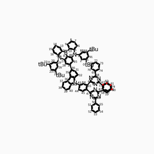 CC(C)(C)c1cc(N2c3ccccc3B3c4ccccc4N(c4cc(C(C)(C)C)cc(C(C)(C)C)c4)c4cc(-c5ccc6c(c5)c5ccccc5n6-c5ccc(-c6nc(-c7ccccc7)nc(-c7ccccc7)n6)c(-c6nc(-c7ccccc7)nc(-c7ccccc7)n6)c5)cc2c43)cc(C(C)(C)C)c1